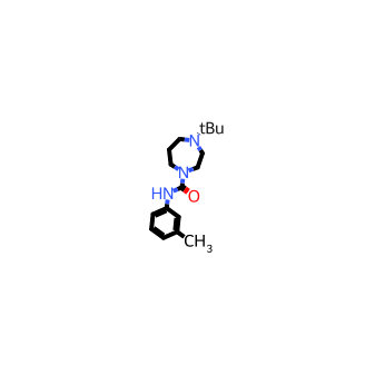 Cc1cccc(NC(=O)N2CCCN(C(C)(C)C)CC2)c1